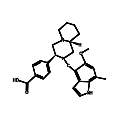 COc1cc(C)c2[nH]ccc2c1CN1C[C@H]2CCCCN2C[C@@H]1c1ccc(C(=O)O)cc1